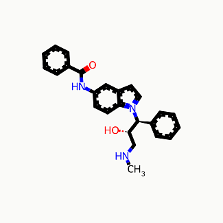 CNC[C@H](O)[C@H](c1ccccc1)n1ccc2cc(NC(=O)c3ccccc3)ccc21